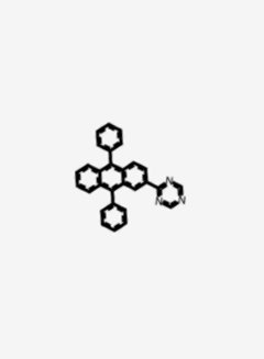 c1ccc(-c2c3ccccc3c(-c3ccccc3)c3cc(-c4ncncn4)ccc23)cc1